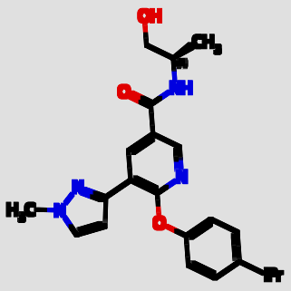 CC(C)c1ccc(Oc2ncc(C(=O)N[C@H](C)CO)cc2-c2ccn(C)n2)cc1